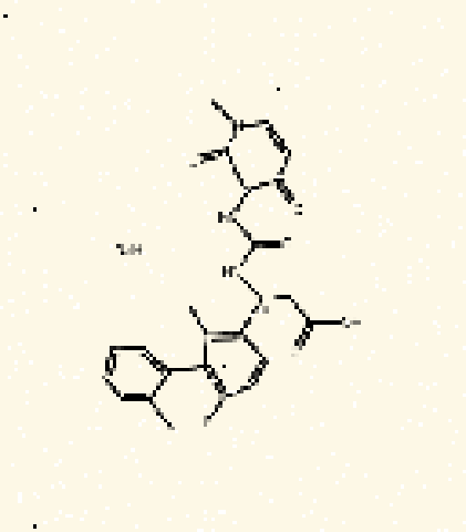 Cc1ccccc1-c1c(F)ccc([C@H](CC(=O)O)NC(=O)NC2C(=O)C=CN(C)C2=O)c1C.[NaH]